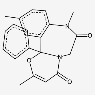 CC1=CC(=O)N2CC(=O)N(C)c3ccc(C)cc3C2(c2ccccc2)O1